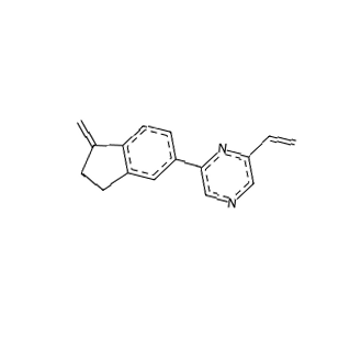 C=Cc1cncc(-c2ccc3c(c2)CCC3=C)n1